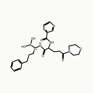 O=C(NC(CCC(=O)N1CCOCC1)C(=O)N[C@@H](CCCc1ccccc1)B(O)O)c1cnccn1